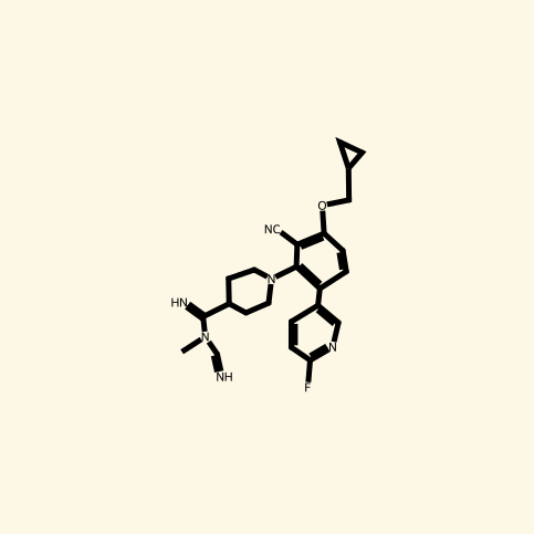 CN(C=N)C(=N)C1CCN(c2c(-c3ccc(F)nc3)ccc(OCC3CC3)c2C#N)CC1